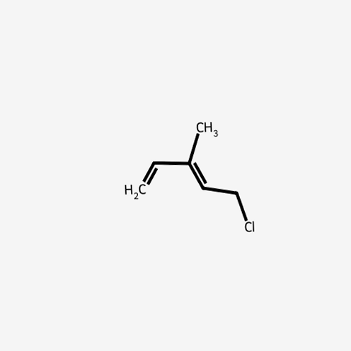 C=CC(C)=CCCl